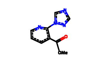 COC(=O)c1cccnc1-n1cncn1